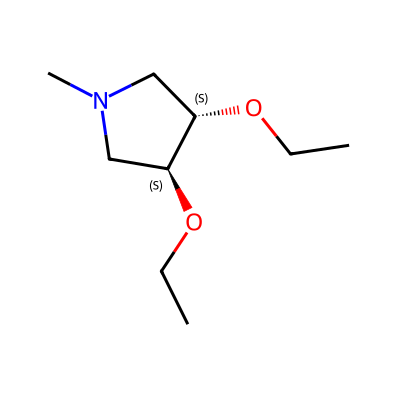 CCO[C@H]1CN(C)C[C@@H]1OCC